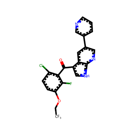 O=C(c1c(Cl)ccc(OCC(F)(F)F)c1F)c1c[nH]c2ncc(-c3cccnc3)cc12